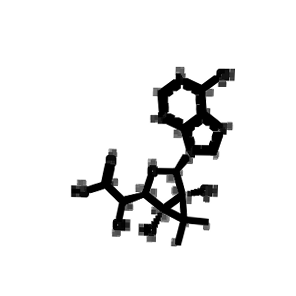 CC1(C)[C@]2(O)[C@H](n3cnc4c(O)ncnc43)O[C@H](C(O)C(=O)O)[C@]12O